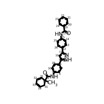 CC1(C(=O)Nc2ccc(-c3cc(-c4ccc(NC(=O)c5ccccc5)cc4)n[nH]3)cc2)C=CC=CC1